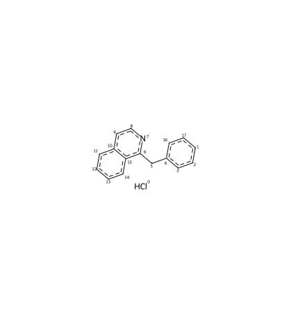 Cl.c1ccc(Cc2nccc3ccccc23)cc1